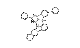 CC12c3cc(-c4ccccc4)ccc3-c3nc(-c4ccccc4)nc(c31)-n1c3cc4ccccc4cc3c3cccc2c31